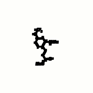 COC(=O)C=Cc1ccc(OC(F)(F)F)cc1NC(C)=O